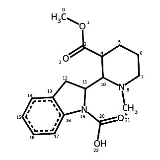 COC(=O)C1CCCN(C)C1C1Cc2ccccc2N1C(=O)O